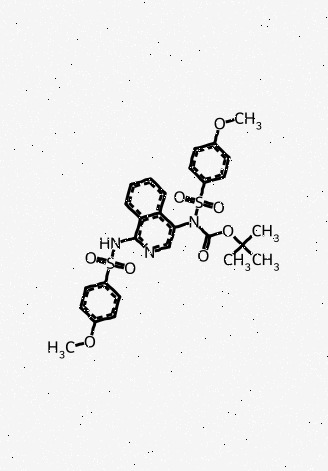 COc1ccc(S(=O)(=O)Nc2ncc(N(C(=O)OC(C)(C)C)S(=O)(=O)c3ccc(OC)cc3)c3ccccc23)cc1